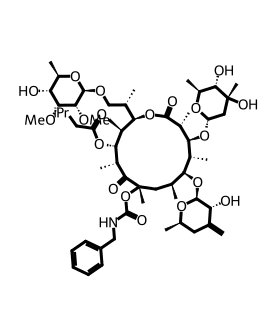 C=C1C[C@@H](C)O[C@@H](O[C@@H]2[C@@H](C)[C@H](O[C@H]3C[C@@](C)(O)[C@@H](O)[C@H](C)O3)[C@@H](C)C(=O)O[C@H]([C@@H](C)CO[C@@H]3O[C@H](C)[C@@H](O)[C@@H](OC)[C@H]3OC)[C@H](C)[C@@H](OC(=O)CC(C)C)[C@@H](C)C(=O)[C@@](C)(OC(=O)NCc3ccccc3)C[C@@H]2C)[C@@H]1O